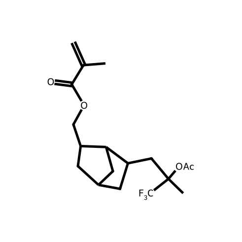 C=C(C)C(=O)OCC1CC2CC(CC(C)(OC(C)=O)C(F)(F)F)C1C2